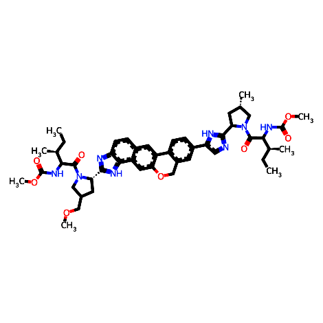 CC[C@H](C)C(NC(=O)OC)C(=O)N1C[C@@H](C)CC1c1ncc(-c2ccc3c(c2)COc2cc4c(ccc5nc([C@@H]6CC(COC)CN6C(=O)C(NC(=O)OC)[C@@H](C)CC)[nH]c54)cc2-3)[nH]1